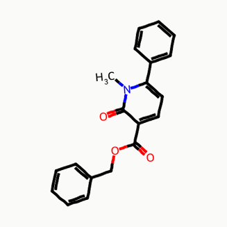 Cn1c(-c2ccccc2)ccc(C(=O)OCc2ccccc2)c1=O